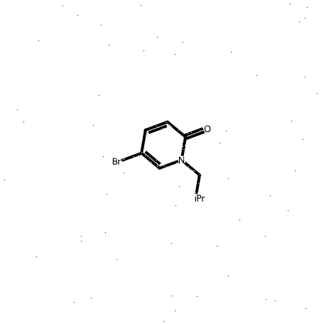 CC(C)Cn1cc(Br)ccc1=O